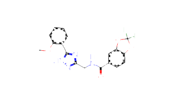 COc1ccccc1-c1nc(CNC(=O)c2ccc3c(c2)OC(F)(F)O3)n[nH]1